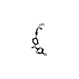 CCCN(C)CC#C[C@H]1CC[C@H](N(C)c2ncc(Br)cn2)CC1